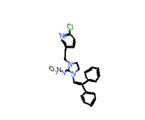 O=[N+]([O-])N=C1N(C=C(c2ccccc2)c2ccccc2)CCN1Cc1ccc(Cl)nc1